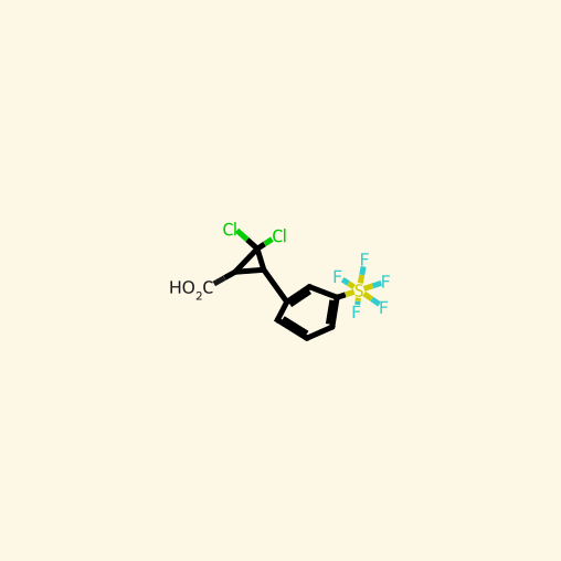 O=C(O)C1C(c2cccc(S(F)(F)(F)(F)F)c2)C1(Cl)Cl